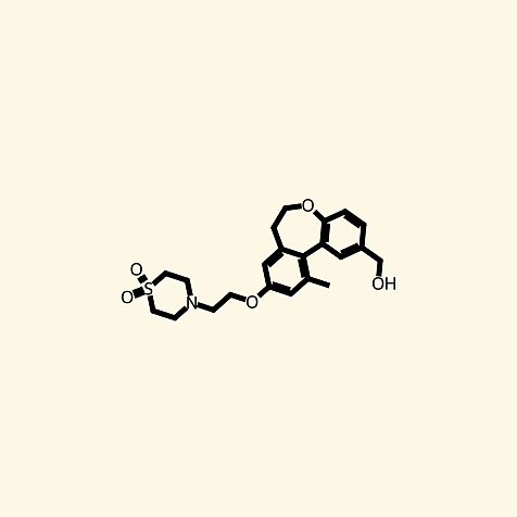 Cc1cc(OCCN2CCS(=O)(=O)CC2)cc2c1-c1cc(CO)ccc1OCC2